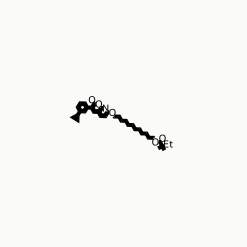 CCC(C)(C)C(=O)OCCCCCCCCCCCCOc1ccc2cc(-c3cccc(C4CC4)c3)c(=O)oc2n1